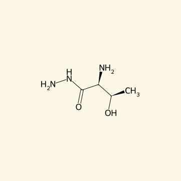 C[C@@H](O)[C@H](N)C(=O)NN